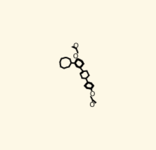 C1=C(c2ccc(OCC3CO3)c(C3CCCCCCC3)c2)CCC(c2ccc(OCC3CO3)cc2)C1